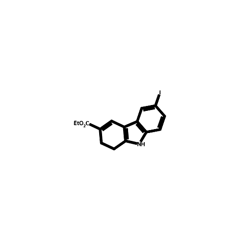 CCOC(=O)C1=Cc2c([nH]c3ccc(I)cc23)CC1